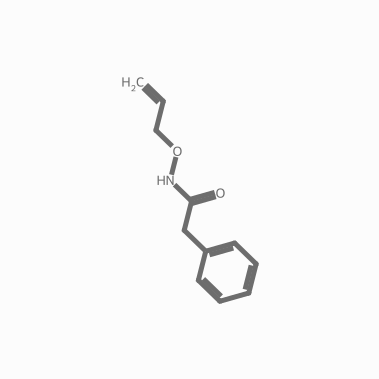 C=CCONC(=O)Cc1ccccc1